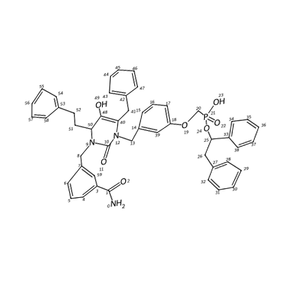 NC(=O)c1cccc(CN2C(=O)N(Cc3cccc(OCP(=O)(O)OC(Cc4ccccc4)c4ccccc4)c3)C(Cc3ccccc3)=C(O)C2CCc2ccccc2)c1